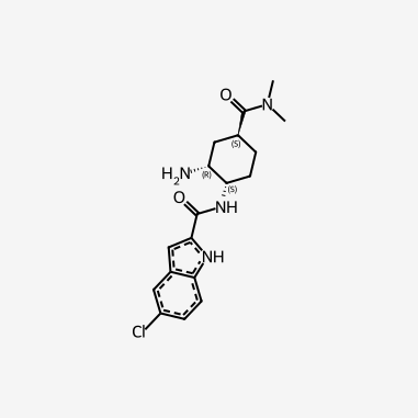 CN(C)C(=O)[C@H]1CC[C@H](NC(=O)c2cc3cc(Cl)ccc3[nH]2)[C@H](N)C1